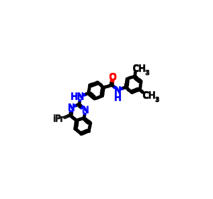 Cc1cc(C)cc(NC(=O)c2ccc(Nc3nc(C(C)C)c4ccccc4n3)cc2)c1